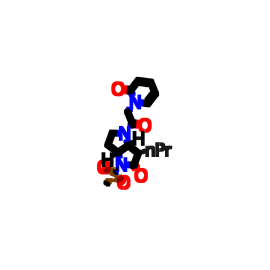 CCC[C@H]1C(=O)N(S(C)(=O)=O)[C@H]2CCN(C(=O)Cn3ccccc3=O)[C@H]12